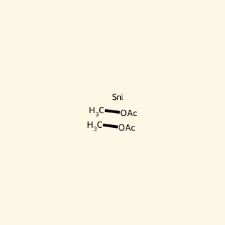 COC(C)=O.COC(C)=O.[Sn]